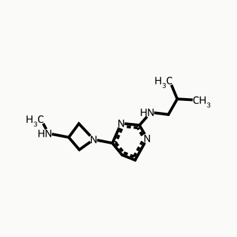 CNC1CN(c2ccnc(NCC(C)C)n2)C1